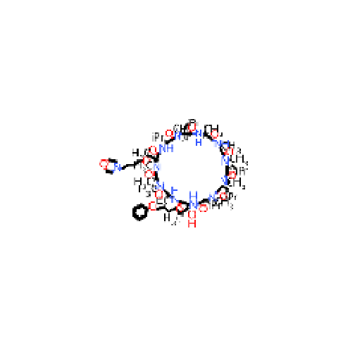 CC[C@@H]1NC(=O)[C@H]([C@H](O)[C@H](C)CCCCOc2ccccc2)NC(=O)[C@H](C(C)C)N(C)C(=O)[C@H](CC(C)C)N(C)C(=O)[C@H](CC(C)C)N(C)C(=O)[C@@H](C)NC(=O)[C@H](C)NC(=O)[C@H](CC(C)C)N(C)C(=O)[C@H](C(C)C)NC(=O)[C@H]([C@@H](C)OCCCCN2CCOCC2)N(C)C(=O)[C@@H](C)N(C)C1=O